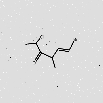 CC(Cl)C(=O)C(C)C=CBr